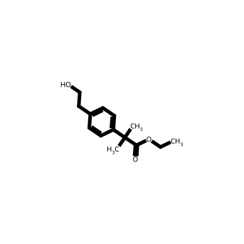 CCOC(=O)C(C)(C)c1ccc(CCO)cc1